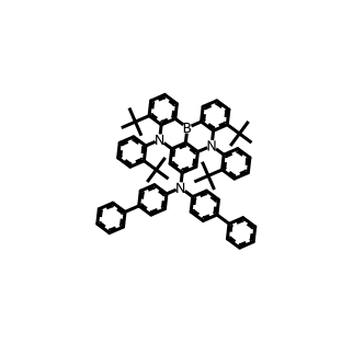 CC(C)(C)c1ccccc1N1c2cc(N(c3ccc(-c4ccccc4)cc3)c3ccc(-c4ccccc4)cc3)cc3c2B(c2cccc(C(C)(C)C)c21)c1cccc(C(C)(C)C)c1N3c1ccccc1C(C)(C)C